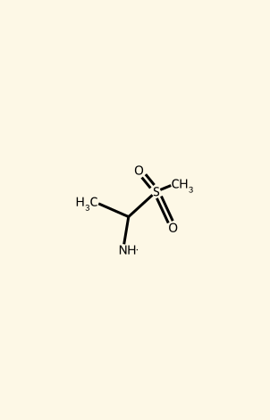 CC([NH])S(C)(=O)=O